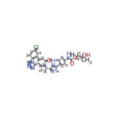 CC(C)(O)COC(=O)Nc1ccc(-c2cnc([C@@H]3CCc4cc(-c5cc(Cl)ccc5-n5cnnn5)cc(=O)n43)[nH]2)cc1